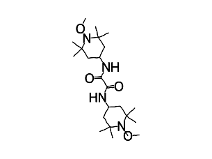 CON1C(C)(C)CC(NC(=O)C(=O)NC2CC(C)(C)N(OC)C(C)(C)C2)CC1(C)C